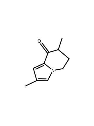 CC1CCn2cc(I)cc2C1=O